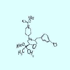 COC(C)(C)[C@H]1CN(C2CCN(C(=O)OC(C)(C)C)CC2)C(Cc2ccc(Cl)cc2)CO1